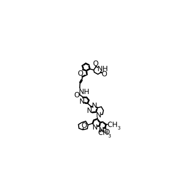 Cc1cc2c(N3CCCc4nc(-c5ccc(C(=O)NCC#Cc6cc7c(C8CCC(=O)NC8=O)cccc7o6)nc5)ncc43)cc(C3CC4CCC(C3)O4)nc2n(C)c1=O